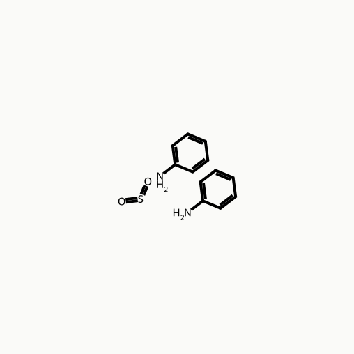 Nc1ccccc1.Nc1ccccc1.O=S=O